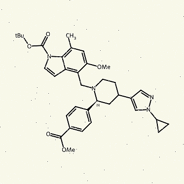 COC(=O)c1ccc([C@@H]2CC(c3cnn(C4CC4)c3)CCN2Cc2c(OC)cc(C)c3c2ccn3C(=O)OC(C)(C)C)cc1